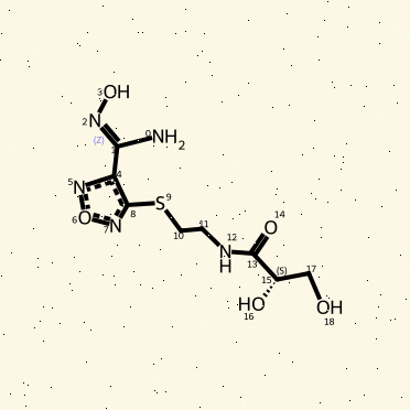 N/C(=N\O)c1nonc1SCCNC(=O)[C@@H](O)CO